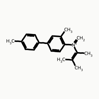 C=[N+](C(C)=C(C)C)c1ccc(-c2ccc(C)cc2)cc1C